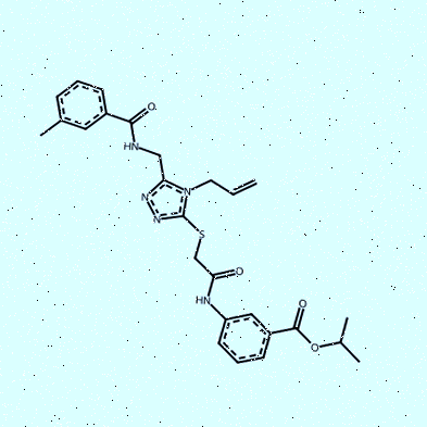 C=CCn1c(CNC(=O)c2cccc(C)c2)nnc1SCC(=O)Nc1cccc(C(=O)OC(C)C)c1